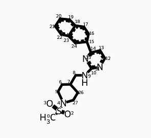 CS(=O)(=O)N1CCC(CNc2nccc(-c3ccc4ccccc4c3)n2)CC1